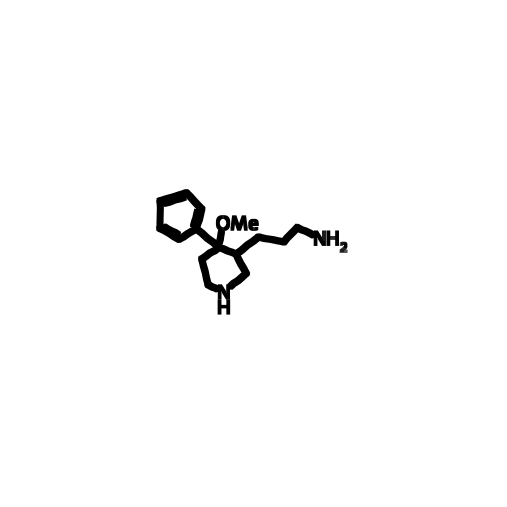 COC1(c2ccccc2)CCNCC1CCCN